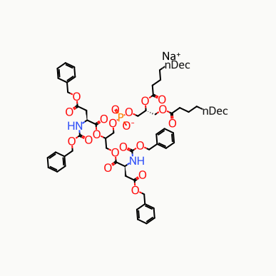 CCCCCCCCCCCCCC(=O)OC[C@H](COP(=O)([O-])OCC(COC(=O)[C@H](CC(=O)OCc1ccccc1)NC(=O)OCc1ccccc1)OC(=O)[C@H](CC(=O)OCc1ccccc1)NC(=O)OCc1ccccc1)OC(=O)CCCCCCCCCCCCC.[Na+]